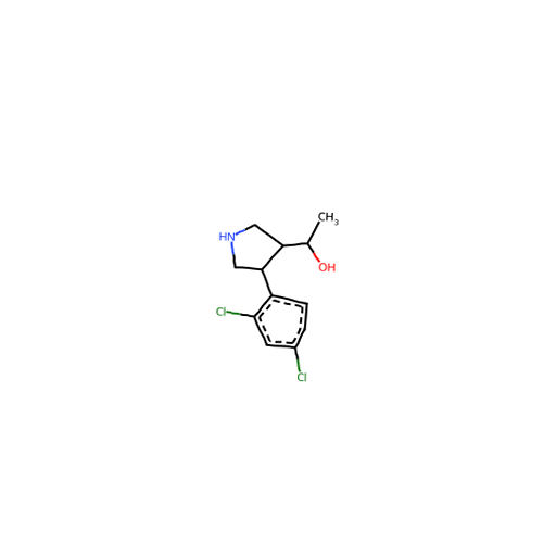 CC(O)C1CNCC1c1ccc(Cl)cc1Cl